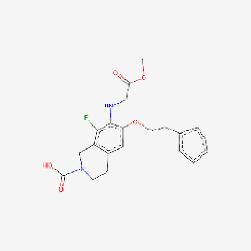 COC(=O)CNc1c(OCCc2ccccc2)cc2c(c1F)CN(C(=O)O)CC2